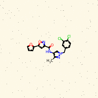 Cc1nn(Cc2ccc(Cl)c(Cl)c2)cc1NC(=O)c1cc(-c2ccco2)on1